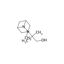 CCN1C2CC1CN(C(C)(C)CO)C2